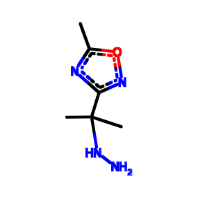 Cc1nc(C(C)(C)NN)no1